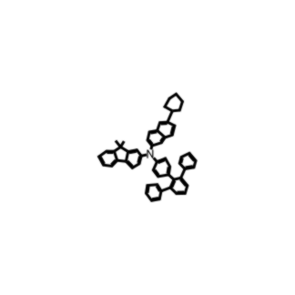 CC1(C)c2ccccc2-c2ccc(N(c3ccc(-c4c(-c5ccccc5)cccc4-c4ccccc4)cc3)c3ccc4cc(C5CCCCC5)ccc4c3)cc21